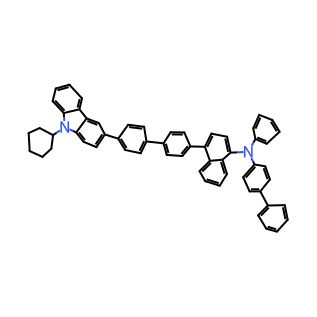 c1ccc(-c2ccc(N(c3ccccc3)c3ccc(-c4ccc(-c5ccc(-c6ccc7c(c6)c6ccccc6n7C6CCCCC6)cc5)cc4)c4ccccc34)cc2)cc1